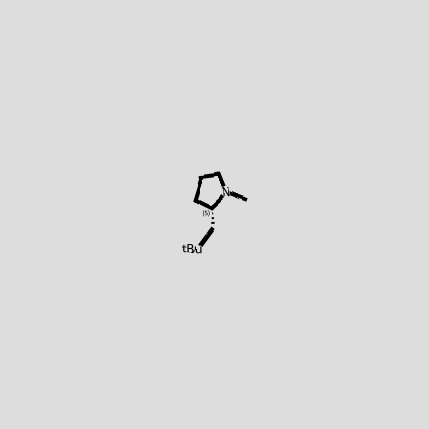 CN1CCC[C@H]1CC(C)(C)C